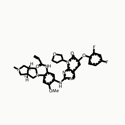 C=CC(=O)Nc1cc(Nc2ncc3cc(Oc4ccc(F)cc4F)c(=O)n(C4CCOC4)c3n2)c(OC)cc1N1C[C@H]2CN(C)C[C@H]2C1